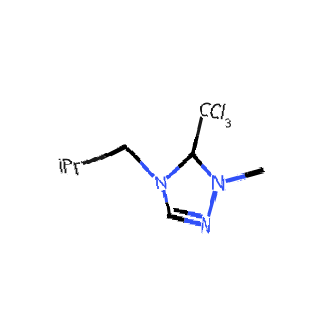 CC(C)CN1C=NN(C)C1C(Cl)(Cl)Cl